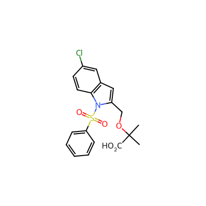 CC(C)(OCc1cc2cc(Cl)ccc2n1S(=O)(=O)c1ccccc1)C(=O)O